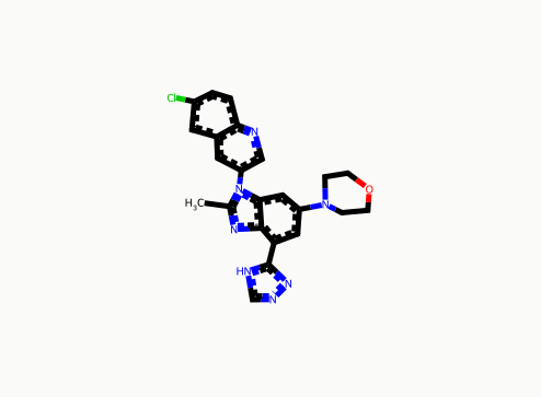 Cc1nc2c(-c3nnc[nH]3)cc(N3CCOCC3)cc2n1-c1cnc2ccc(Cl)cc2c1